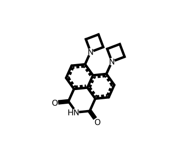 O=C1NC(=O)c2ccc(N3CCC3)c3c(N4CCC4)ccc1c23